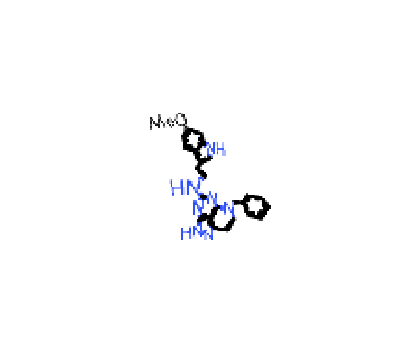 COc1ccc2c(CCNc3nc4c5c(n[nH]c5n3)CCN4Cc3ccccc3)c[nH]c2c1